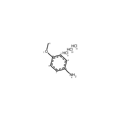 COc1ccc(N)cc1.Cl.Cl.Cl